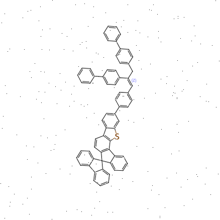 C(=C(\Cc1ccc(-c2ccccc2)cc1)c1ccc(-c2ccccc2)cc1)/c1ccc(-c2ccc3c(c2)sc2c4c(ccc23)C2(c3ccccc3-c3ccccc32)c2ccccc2-4)cc1